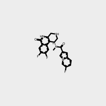 CN(C(=O)c1cc2ccc(F)cn2c1)[C@H]1CNCc2[nH]c(=O)c3cc(F)c(F)cc3c21